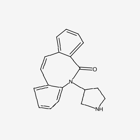 O=C1c2ccccc2/C=C\c2ccccc2N1C1CCNC1